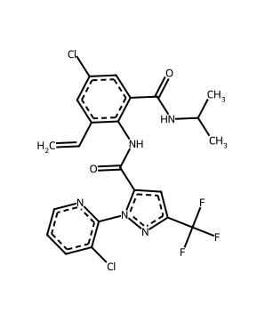 C=Cc1cc(Cl)cc(C(=O)NC(C)C)c1NC(=O)c1cc(C(F)(F)F)nn1-c1ncccc1Cl